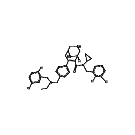 CCN(Cc1ccc(C2=C(C(=O)N(Cc3cccc(Cl)c3Cl)C3CC3)[C@H]3CNCC(C2)N3)cc1)Cc1cc(Cl)ccc1Cl